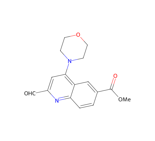 COC(=O)c1ccc2nc(C=O)cc(N3CCOCC3)c2c1